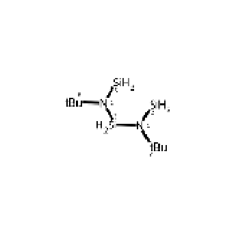 CC(C)(C)N([SiH3])[SiH2]N([SiH3])C(C)(C)C